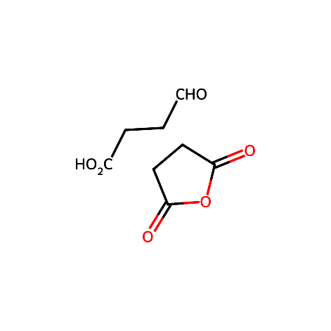 O=C1CCC(=O)O1.O=CCCC(=O)O